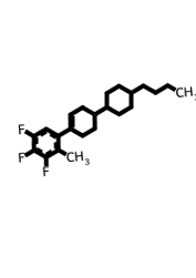 CCCCC1CCC(C2CC=C(c3cc(F)c(F)c(F)c3C)CC2)CC1